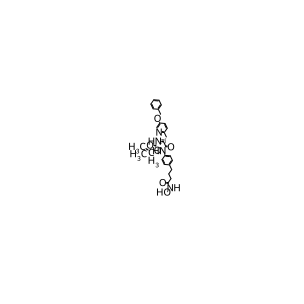 CC(C)(C)OC(=O)N[C@H](Cc1ccc(OCc2ccccc2)cn1)C(=O)Nc1ccc(CCCC(=O)NO)cc1